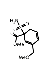 COCC1=CC(C(=O)OC)(S(N)(=O)=O)CC=C1